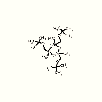 CC(C)(C)OC[Si]1(C)O[Si](C)(COC(C)(C)C)O[Si](C)(COC(C)(C)C)O1